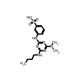 CCCCNc1nc(Nc2cccc(S(=O)(=O)O)c2)nc(N(C)C)n1